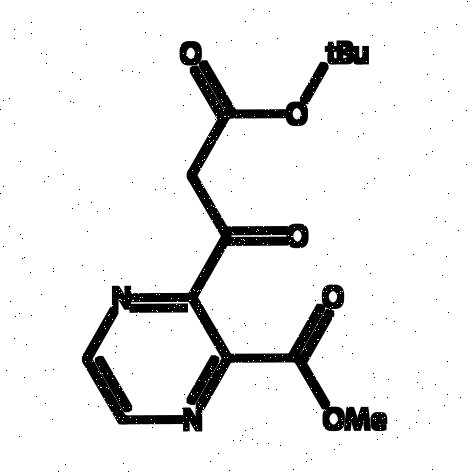 COC(=O)c1nccnc1C(=O)CC(=O)OC(C)(C)C